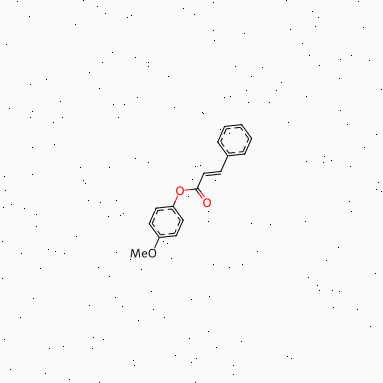 COc1ccc(OC(=O)C=Cc2ccccc2)cc1